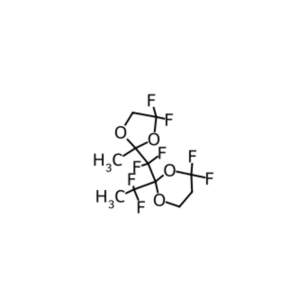 CC(F)(F)C1(C(F)(F)C2(C)OCC(F)(F)O2)OCCC(F)(F)O1